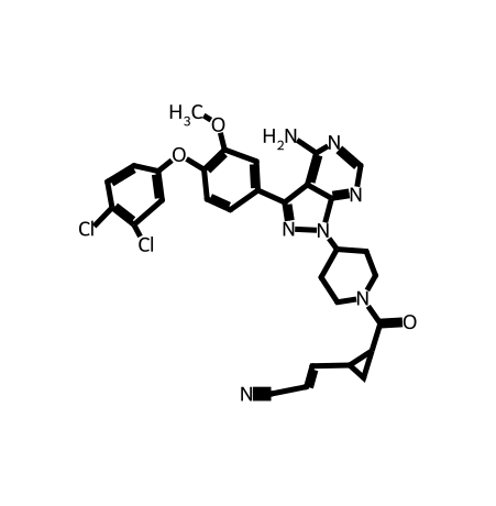 COc1cc(-c2nn(C3CCN(C(=O)C4CC4C=CC#N)CC3)c3ncnc(N)c23)ccc1Oc1ccc(Cl)c(Cl)c1